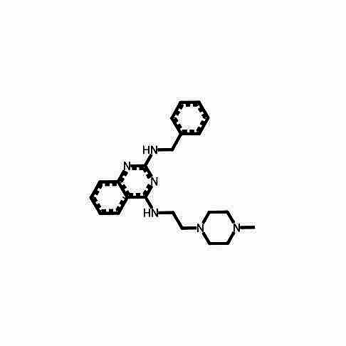 CN1CCN(CCNc2nc(NCc3ccccc3)nc3ccccc23)CC1